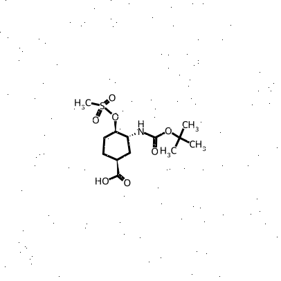 CC(C)(C)OC(=O)N[C@@H]1C[C@@H](C(=O)O)CC[C@H]1OS(C)(=O)=O